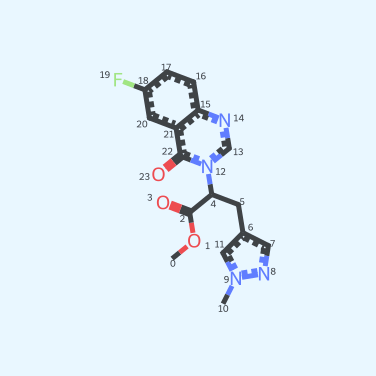 COC(=O)C(Cc1cnn(C)c1)n1cnc2ccc(F)cc2c1=O